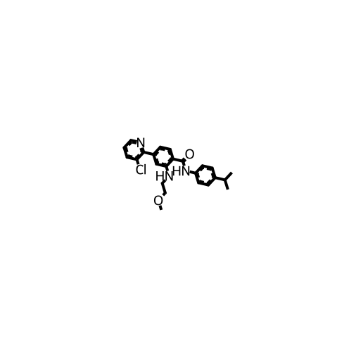 COCCNc1cc(-c2ncccc2Cl)ccc1C(=O)Nc1ccc(C(C)C)cc1